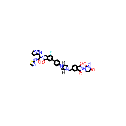 O=C1CCN(N2C(=O)c3ccc(CN4C[C@H]5C[C@@H]4CN5c4ccc(-c5cc(F)c6c(c5)C(=O)N(C(C(=O)Nc5nccs5)c5ncn7c5CCC7)C6)cc4)cc3C2=O)C(=O)N1